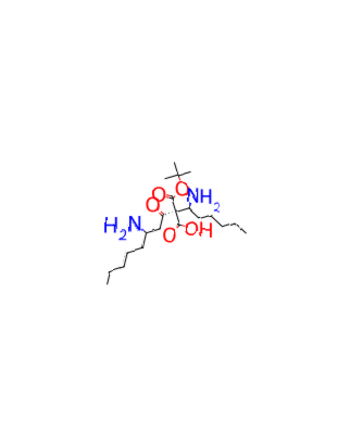 CCCCCC(N)CC(=O)[C@](C(=O)O)(C(=O)OC(C)(C)C)[C@@H](N)CCCCC